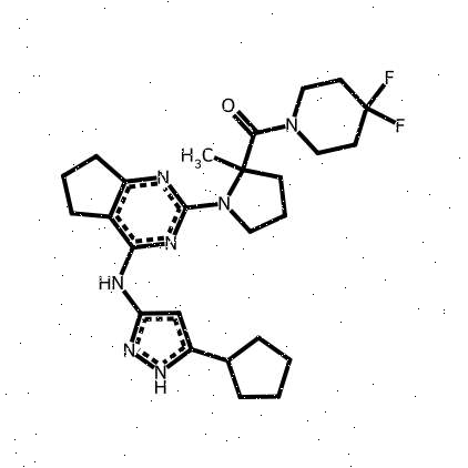 CC1(C(=O)N2CCC(F)(F)CC2)CCCN1c1nc2c(c(Nc3cc(C4CCCC4)[nH]n3)n1)CCC2